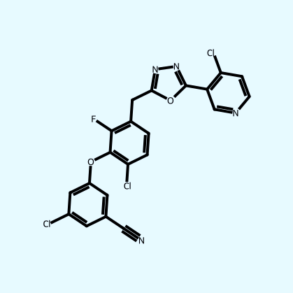 N#Cc1cc(Cl)cc(Oc2c(Cl)ccc(Cc3nnc(-c4cnccc4Cl)o3)c2F)c1